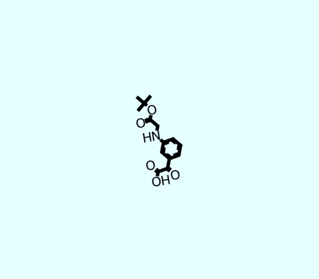 CC(C)(C)OC(=O)CNc1cccc(C(=O)C(=O)O)c1